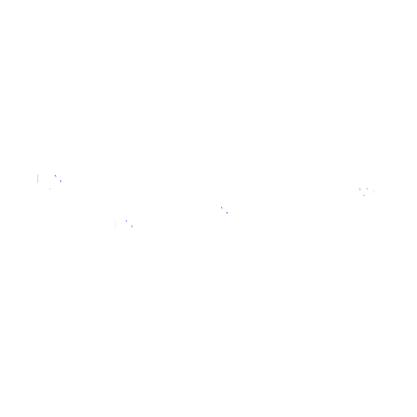 COc1ccc(N2CCC(NCCN)CC2)cc1